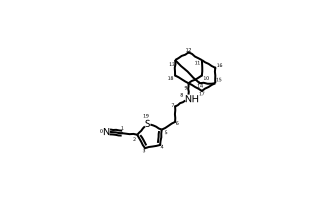 N#Cc1ccc(CCNC23CC4CC(CC(C4)C2)C3)s1